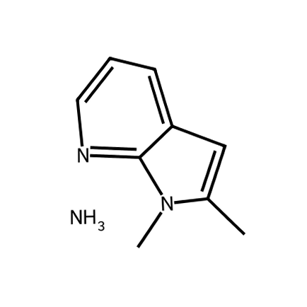 Cc1cc2cccnc2n1C.N